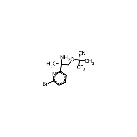 C[C@](C#N)(OC[C@@](C)(N)c1cccc(Br)n1)C(F)(F)F